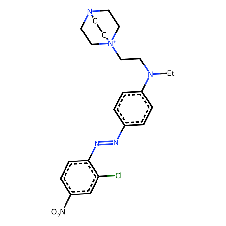 CCN(CC[N+]12CCN(CC1)CC2)c1ccc(N=Nc2ccc([N+](=O)[O-])cc2Cl)cc1